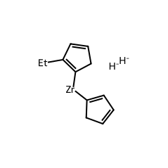 CCC1=[C]([Zr][C]2=CC=CC2)CC=C1.[H-].[H-]